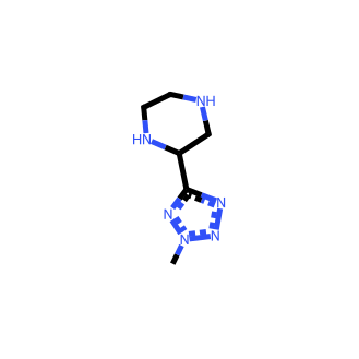 Cn1nnc(C2CNCCN2)n1